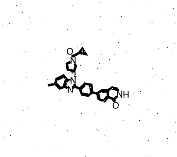 Cc1ccc2c(c1)nc(-c1ccc(-c3ccc4c(=O)[nH]ccc4c3)cc1)n2C[C@@H]1CCN(C(=O)C2CC2)C1